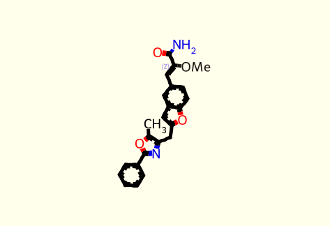 CO/C(=C\c1ccc2oc(Cc3nc(-c4ccccc4)oc3C)cc2c1)C(N)=O